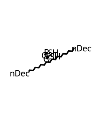 CCCCCCCCCCCCCCCCCCCCCCCCCCCCCCCCCCCC.O=PS.O=PS